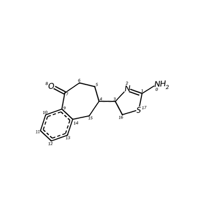 NC1=NC(C2CCC(=O)c3ccccc3C2)CS1